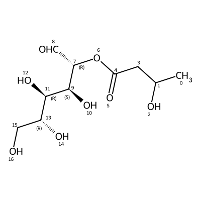 CC(O)CC(=O)O[C@@H](C=O)[C@@H](O)[C@H](O)[C@H](O)CO